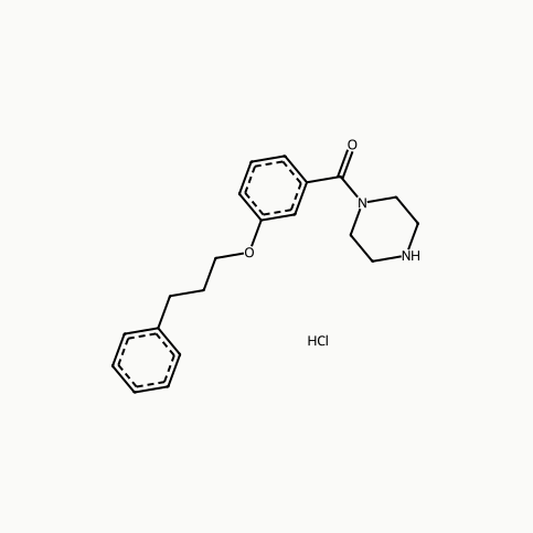 Cl.O=C(c1cccc(OCCCc2ccccc2)c1)N1CCNCC1